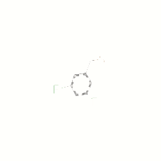 Fc1cc(F)cc(C[S])c1